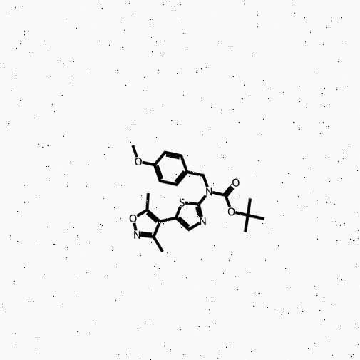 COc1ccc(CN(C(=O)OC(C)(C)C)c2ncc(-c3c(C)noc3C)s2)cc1